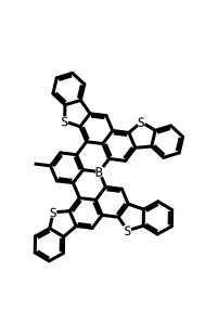 Cc1cc2c3c(c1)-c1c4sc5ccccc5c4cc4c1c(cc1c5ccccc5sc41)B3c1cc3c4ccccc4sc3c3cc4c(sc5ccccc54)c-2c13